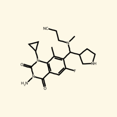 Cc1c(C(C2CCNC2)N(C)CCC#N)c(F)cc2c(=O)n(N)c(=O)n(C3CC3)c12